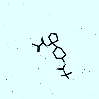 C=C(C)C(=O)OC1(C2CCC(OC(=O)C(C)(C)C)CC2)CCCC1